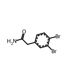 NC(=O)Cc1ccc(Br)c(Br)c1